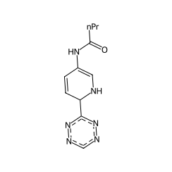 CCCC(=O)NC1=CNC(c2nncnn2)C=C1